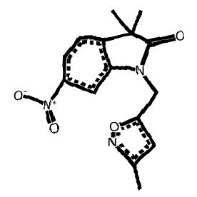 Cc1cc(CN2C(=O)C(C)(C)c3ccc([N+](=O)[O-])cc32)on1